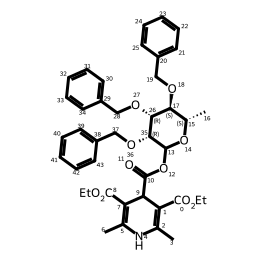 CCOC(=O)C1=C(C)NC(C)=C(C(=O)OCC)C1C(=O)OC1O[C@@H](C)[C@H](OCc2ccccc2)[C@@H](OCc2ccccc2)[C@H]1OCc1ccccc1